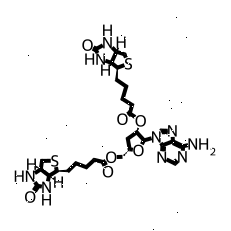 Nc1ncnc2c1ncn2C1O[C@H](COC(=O)CCCC[C@@H]2SC[C@@H]3NC(=O)N[C@@H]32)C[C@@H]1OC(=O)CCCC[C@@H]1SC[C@@H]2NC(=O)N[C@@H]21